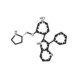 Cl.c1ccc(-c2c(-c3ccncc3OC[C@@H]3CCCN3)[nH]c3cccnc23)cc1